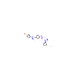 COc1ccc2c(c1)N1C(C)=CSC1N(C(=O)NC(C)c1ccc(-c3ncn(-c4ccc(OC(F)(F)F)cc4)n3)cc1)C2C